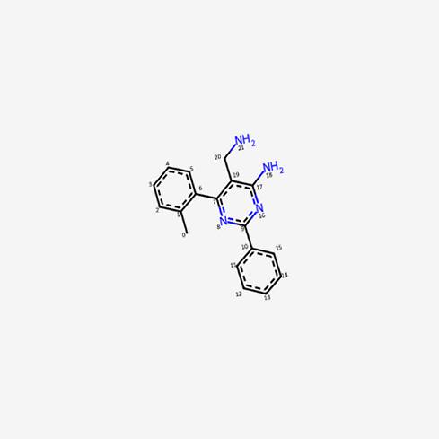 Cc1ccccc1-c1nc(-c2ccccc2)nc(N)c1CN